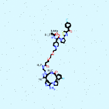 CN[C@H](C)C(=O)N[C@@H](C(=O)N1CCC[C@@H]1C1=NC(C(=O)c2ccc(F)cc2)CS1)C1CCN(CCOCCOCCC(=O)N(C)CCn2nc(C#N)c3c2CN(C)C(=O)c2ccc(F)cc2[C@H]2CCCN2c2cc-3cnc2N)CC1